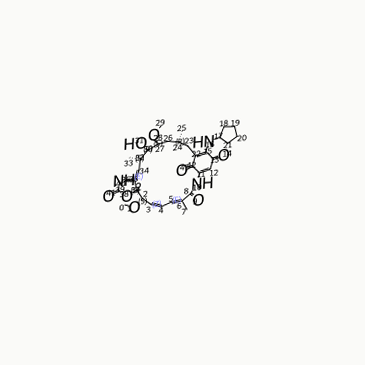 CO[C@H]1/C=C\C=C(/C)C(=O)NC2=CC(=O)C(NC3CCCC3)=C(C[C@@H](C)C[C@H](OC)[C@H](O)[C@@H](C)/C=C(\C)[C@@H]1OC(N)=O)C2=O